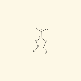 CC(C)C1CC(C)[C@@H](F)C1